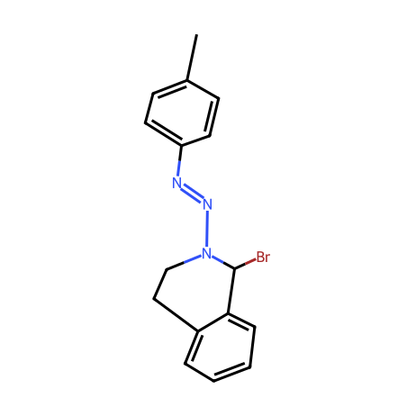 Cc1ccc(N=NN2CCc3ccccc3C2Br)cc1